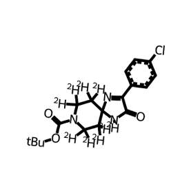 [2H]N1C(=O)C(c2ccc(Cl)cc2)=NC12C([2H])([2H])C([2H])([2H])N(C(=O)OC(C)(C)C)C([2H])([2H])C2([2H])[2H]